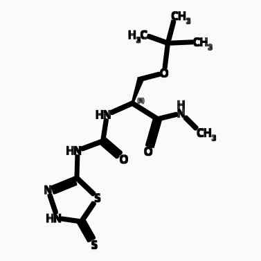 CNC(=O)[C@H](COC(C)(C)C)NC(=O)Nc1n[nH]c(=S)s1